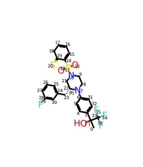 CC(O)(c1ccc(N2CCN(S(=O)(=O)C3=CC=CCC3=S)C[C@H]2Cc2cccc(F)c2)cc1)C(F)(F)F